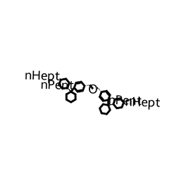 CCCCCCC[C@H]1CC[C@H](C2([C@]3(CCCCC)C=C[C@@H](COC[C@H]4C=C[C@](CCCCC)(C5([C@H]6CC[C@H](CCCCCCC)CC6)CCCCC5)C=C4)C=C3)CCCCC2)CC1